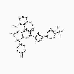 CCc1cccc(CC)c1-n1c(C=C(C)C)c(C(=O)N2CCNCC2)cc(-c2nc(-c3ccc(C(F)(F)F)nc3)cs2)c1=O